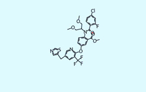 COCC(COC)N(C(=O)c1ccc(Cl)cc1F)c1ccc(Oc2ncc(Cc3cncs3)cc2C(F)(F)F)cc1C(=O)OC